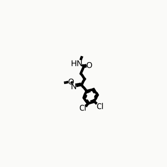 CNC(=O)CCC(=NOC)c1ccc(Cl)c(Cl)c1